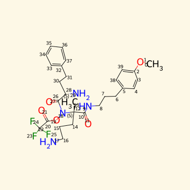 COc1ccc(CCCNC(=O)[C@](C)(CCCN)N(OC(=O)C(F)(F)F)C(=O)[C@@H](N)CCc2ccccc2)cc1